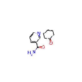 NC(=O)c1cccnc1.O=C1CCCCC1